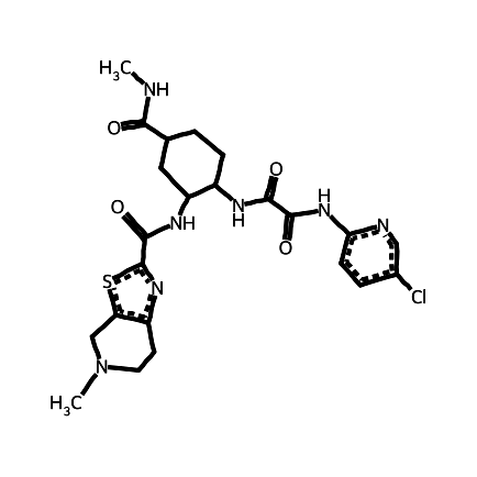 CNC(=O)C1CCC(NC(=O)C(=O)Nc2ccc(Cl)cn2)C(NC(=O)c2nc3c(s2)CN(C)CC3)C1